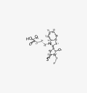 CCN1C(=O)C(=C2Sc3ccccc3N2CCCS(=O)(=O)O)SC1=S